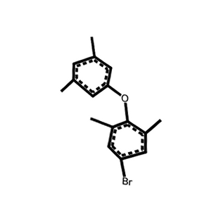 Cc1cc(C)cc(Oc2c(C)cc(Br)cc2C)c1